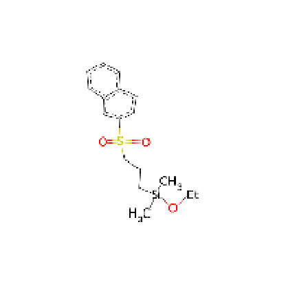 CCO[Si](C)(C)CCCS(=O)(=O)c1ccc2ccccc2c1